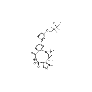 Cn1ncc2c1[C@@]1(C)CN(c3nc(-n4ccc(OCC(C)(C)C(F)(F)F)n4)ccc3C(=O)NS2(=O)=O)C(C)(C)C1